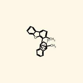 Cc1ccc2c(oc3ccccc32)c1N1[C@@H](C)C23CCC1(CC2)c1ccccc13